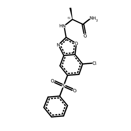 C[C@H](Nc1nc2cc(S(=O)(=O)c3ccccc3)cc(Cl)c2o1)C(N)=O